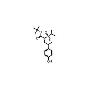 CC(CN(C(=O)OC(C)(C)C)S(=O)(=O)C(C)C)c1ccc(O)cc1